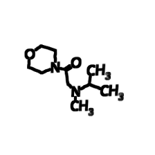 CC(C)N(C)CC(=O)N1CCOCC1